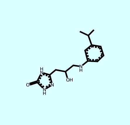 CC(C)c1cccc(NCC(O)Cc2n[nH]c(=O)[nH]2)c1